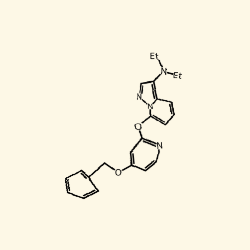 CCN(CC)c1cnn2c(Oc3cc(OCc4ccccc4)ccn3)cccc12